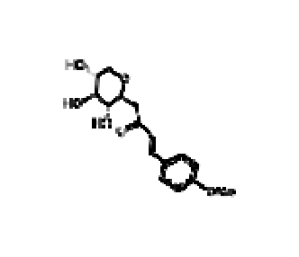 COc1ccc(/C=C/C(=O)C[C@@H]2OC[C@@H](O)[C@H](O)[C@H]2O)cc1